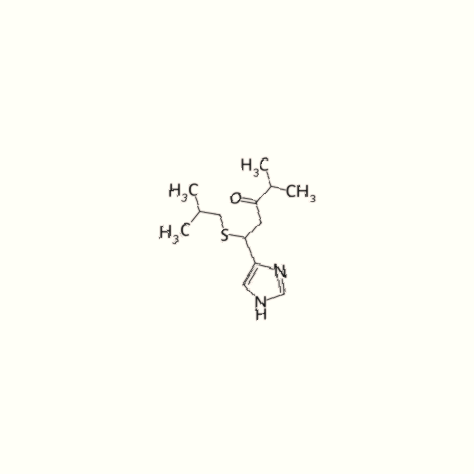 CC(C)CSC(CC(=O)C(C)C)c1c[nH]cn1